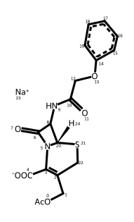 CC(=O)OCC1=C(C(=O)[O-])N2C(=O)C(NC(=O)COc3ccccc3)[C@@H]2SC1.[Na+]